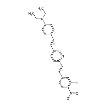 CCN(CC)c1ccc(/C=C/c2ccc(/C=C/c3ccc([N+](=O)[O-])c(F)c3)nc2)cc1